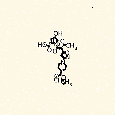 COC(OC)C1CCN(c2cc([C@@H](C(=O)N3C[C@H](O)C[C@H]3C(=O)O)C(C)C)on2)CC1